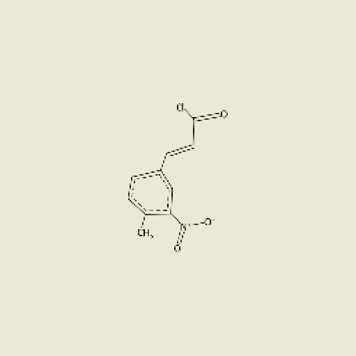 Cc1ccc(C=CC(=O)Cl)cc1[N+](=O)[O-]